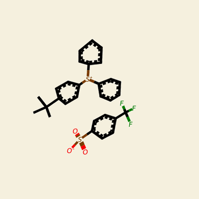 CC(C)(C)c1ccc([S+](c2ccccc2)c2ccccc2)cc1.O=S(=O)([O-])c1ccc(C(F)(F)F)cc1